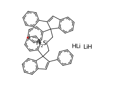 C1=C(c2ccccc2)C(C[SiH2]CC2(c3ccccc3)C(c3ccccc3)=Cc3ccccc32)(c2ccccc2)c2ccccc21.[LiH].[LiH]